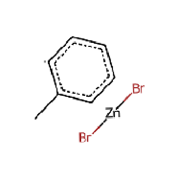 Cc1[c]cccc1.[Br][Zn][Br]